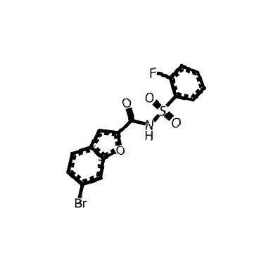 O=C(NS(=O)(=O)c1ccccc1F)c1cc2ccc(Br)cc2o1